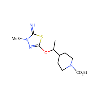 CCOC(=O)N1CCC(C(C)Oc2nn(SC)c(=N)s2)CC1